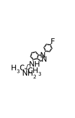 CC(C)(N)CNc1cccc2c1cnn2-c1ccc(F)cc1